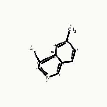 Cc1ccc2cncc(C(C)C)c2c1